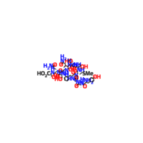 CSCC[C@H](NC(=O)[C@H](Cc1ccccc1)NC(=O)CNC(=O)[C@@H](C)NC(=O)[C@@H](N)Cc1ccc(O)cc1)C(=O)N[C@H](C(=O)N[C@@H](CO)C(=O)N[C@@H](CCC(N)=O)C(=O)N[C@@H](CCCCN)C(=O)N[C@@H](CO)C(=O)N[C@@H](CCC(N)=O)C(=O)N[C@H](C(=O)O)[C@@H](C)O)[C@@H](C)O